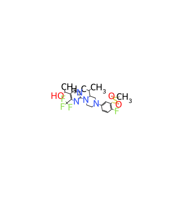 CC(C)C1CN(c2ccc(F)c(S(C)(=O)=O)c2)CCN1c1ncc([C@H](C)O)c(C(F)(F)F)n1